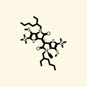 C#C[N+]1(CC(CC)CCCC)C(=O)/C(=C2/C(=O)N(CC(CC)CCCC)c3c2sc([Si](C)(C)C)c3SC)c2sc([Si](C)(C)C)c(SC)c21